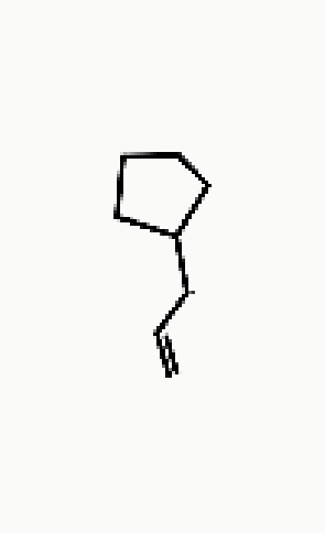 C=C[CH]C1CCCC1